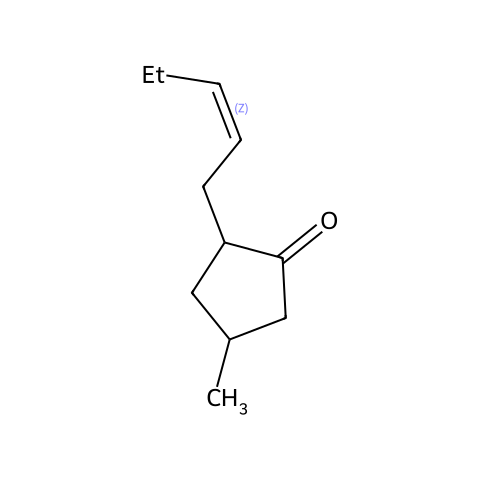 CC/C=C\CC1CC(C)CC1=O